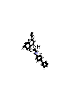 CCOC(=O)CC(NC(=O)/C=C/c1ccc(-c2ccccc2)cc1)c1ccc(C)cc1